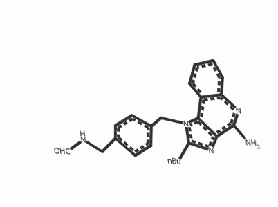 CCCCc1nc2c(N)nc3ccccc3c2n1Cc1ccc(CNC=O)cc1